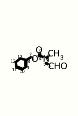 CN(CC=O)C(=O)OCC1=CC=CCC1